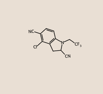 N#Cc1ccc2c(c1Cl)CC(C#N)N2CC(F)(F)F